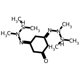 CN(N=C1CC(=O)CC(=NN(C)[SiH](C)C)C1)[SiH](C)C